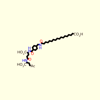 CC(=O)CC[C@H](NC(=O)CC[C@H](NC(=O)C1CCC(CNC(=O)CCCCCCCCCCCCCCCCC(=O)O)CC1)C(=O)O)C(=O)O